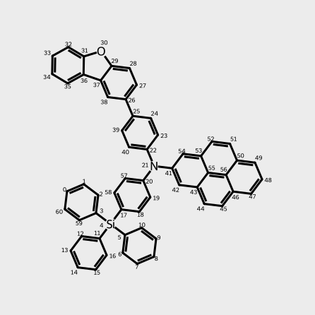 c1ccc([Si](c2ccccc2)(c2ccccc2)c2ccc(N(c3ccc(-c4ccc5oc6ccccc6c5c4)cc3)c3cc4ccc5cccc6ccc(c3)c4c56)cc2)cc1